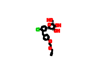 C#CCOCCOc1ccc(Cc2cc([C@H]3C[C@@H](O)[C@H](O)[C@@H](CO)O3)ccc2Cl)cc1